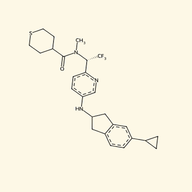 CN(C(=O)C1CCSCC1)[C@@H](c1ccc(NC2Cc3ccc(C4CC4)cc3C2)cn1)C(F)(F)F